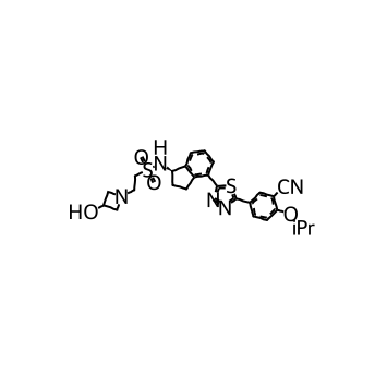 CC(C)Oc1ccc(-c2nnc(-c3cccc4c3CC[C@H]4NS(=O)(=O)CCN3CC(O)C3)s2)cc1C#N